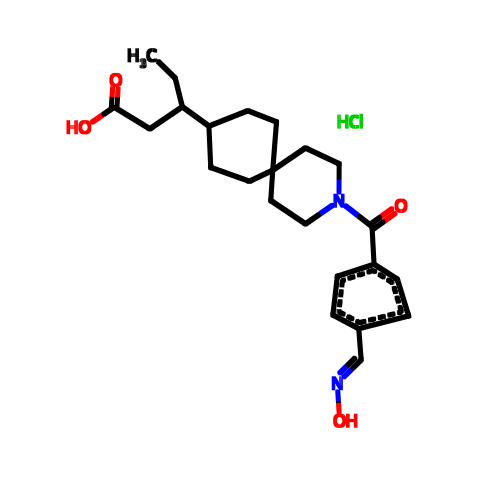 CCC(CC(=O)O)C1CCC2(CC1)CCN(C(=O)c1ccc(C=NO)cc1)CC2.Cl